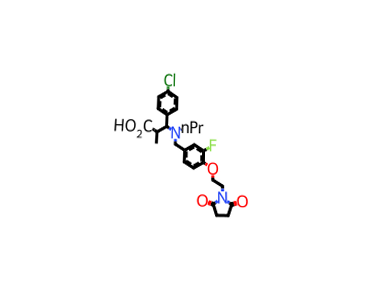 CCCN(Cc1ccc(OCCN2C(=O)CCC2=O)c(F)c1)C(c1ccc(Cl)cc1)C(C)C(=O)O